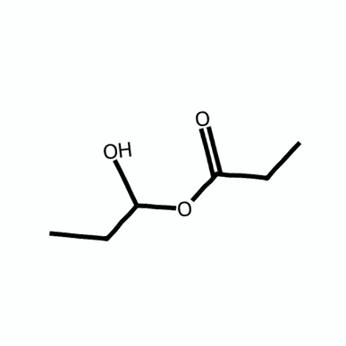 CCC(=O)OC(O)CC